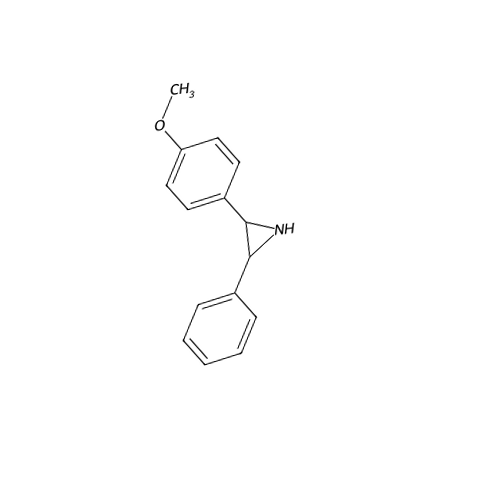 COc1ccc(C2NC2c2ccccc2)cc1